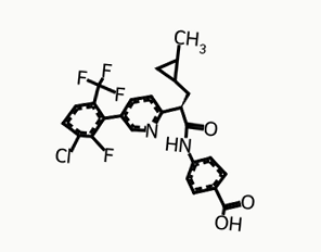 CC1CC1C[C@@H](C(=O)Nc1ccc(C(=O)O)cc1)c1ccc(-c2c(C(F)(F)F)ccc(Cl)c2F)cn1